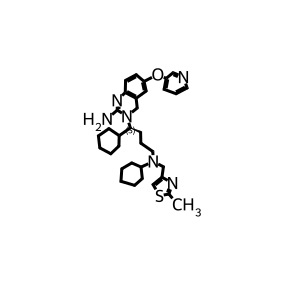 Cc1nc(CN(CCC[C@@H](C2CCCCC2)N2Cc3cc(Oc4cccnc4)ccc3N=C2N)C2CCCCC2)cs1